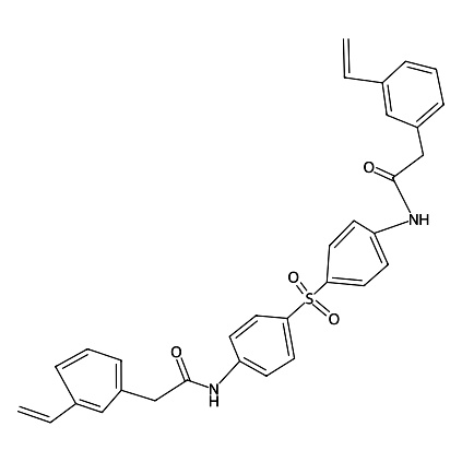 C=Cc1cccc(CC(=O)Nc2ccc(S(=O)(=O)c3ccc(NC(=O)Cc4cccc(C=C)c4)cc3)cc2)c1